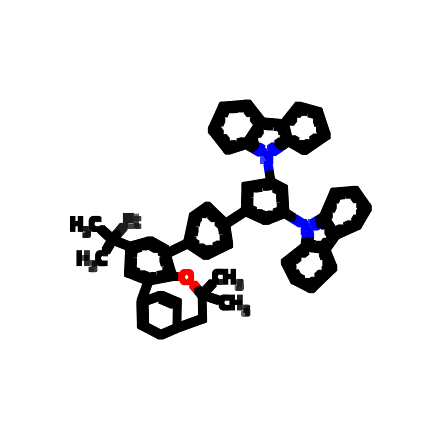 CCC(C)(C)c1cc2c(c(-c3ccc(-c4cc(-n5c6ccccc6c6ccccc65)cc(-n5c6ccccc6c6ccccc65)c4)cc3)c1)OC(C)(C)CC1C=CC2=CC1